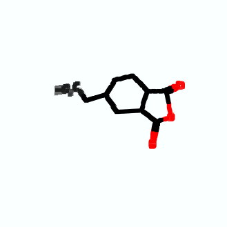 O=C(O)CC1CCC2C(=O)OC(=O)C2C1